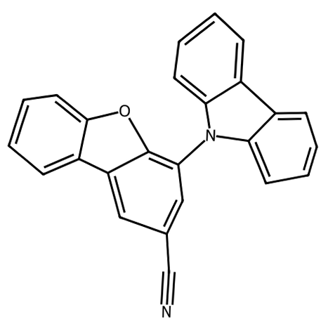 N#Cc1cc(-n2c3ccccc3c3ccccc32)c2oc3ccccc3c2c1